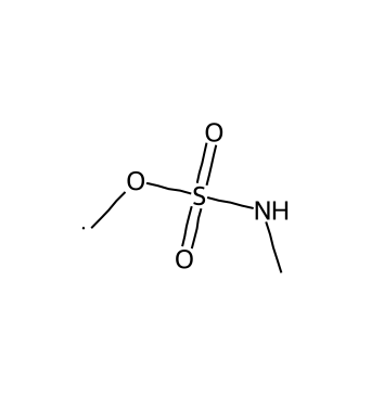 [CH2]OS(=O)(=O)NC